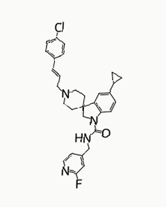 O=C(NCc1ccnc(F)c1)N1CC2(CCN(CC=Cc3ccc(Cl)cc3)CC2)c2cc(C3CC3)ccc21